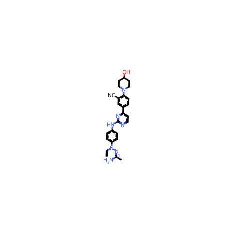 C=CN(/N=C(/C)N)c1ccc(Nc2nccc(-c3ccc(N4CCC(O)CC4)c(C#N)c3)n2)cc1